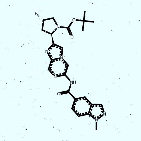 Cn1ncc2cc(C(=O)Nc3cn4cc([C@H]5C[C@H](F)CN5C(=O)OC(C)(C)C)nc4cn3)ccc21